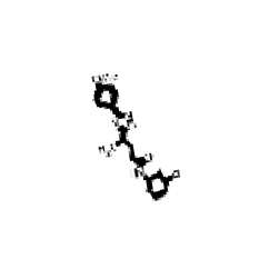 COc1ccc(-c2noc(C(C)CCC(=O)Nc3cccc(Cl)c3)n2)cc1